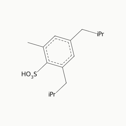 Cc1cc(CC(C)C)cc(CC(C)C)c1S(=O)(=O)O